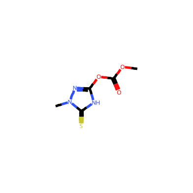 COC(=O)Oc1nn(C)c(=S)[nH]1